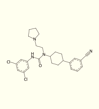 N#Cc1cccc(C2CCC(N(CCN3CCCC3)C(=O)Nc3cc(Cl)cc(Cl)c3)CC2)c1